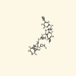 CCC1(C#CCNCCCC2(c3ccc(F)cc3)OCc3cc(C#N)ccc32)C2=CN1c1ccccc12